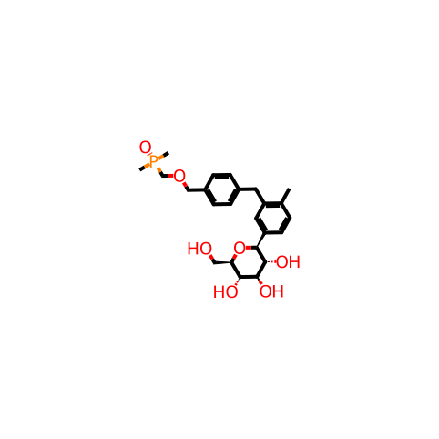 Cc1ccc([C@@H]2O[C@H](CO)[C@@H](O)[C@H](O)[C@H]2O)cc1Cc1ccc(COCP(C)(C)=O)cc1